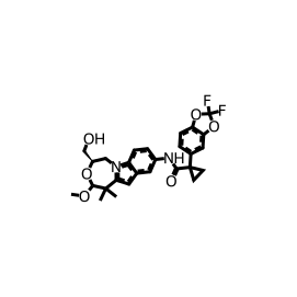 COC1O[C@@H](CO)Cn2c(cc3cc(NC(=O)C4(c5ccc6c(c5)OC(F)(F)O6)CC4)ccc32)C1(C)C